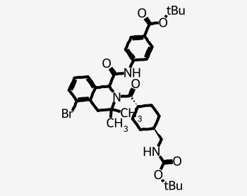 CC(C)(C)OC(=O)NC[C@H]1CC[C@H](C(=O)N2C(C(=O)Nc3ccc(C(=O)OC(C)(C)C)cc3)c3cccc(Br)c3CC2(C)C)CC1